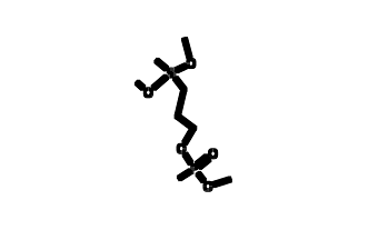 CO[Si](C)(CCCOP(C)(=O)OC)OC